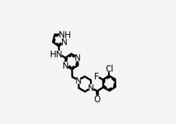 O=C(c1cccc(Cl)c1F)N1CCN(Cc2cncc(Nc3cc[nH]n3)n2)CC1